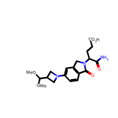 COC(OC)C1CN(c2ccc3c(c2)CN(C(CCC(=O)O)C(N)=O)C3=O)C1